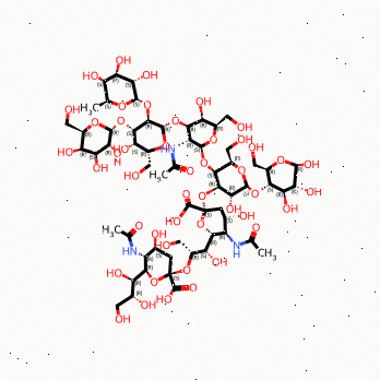 CC(=O)N[C@H]1[C@H](O[C@@H]2[C@H](O[C@]3(C(=O)O)C[C@H](O)[C@@H](NC(C)=O)[C@H]([C@H](O)[C@@H](CO)O[C@]4(C(=O)O)C[C@H](O)[C@@H](NC(C)=O)[C@H]([C@H](O)[C@H](O)CO)O4)O3)[C@@H](O)[C@H](O[C@H]3[C@H](O)[C@@H](O)[C@H](O)O[C@@H]3CO)O[C@@H]2CO)O[C@H](CO)[C@H](O)[C@@H]1O[C@@H]1O[C@H](CO)[C@H](O)[C@H](O[C@H]2O[C@H](CO)[C@H](O)[C@H](O)[C@H]2O)[C@H]1O[C@@H]1O[C@@H](C)[C@@H](O)[C@@H](O)[C@@H]1O